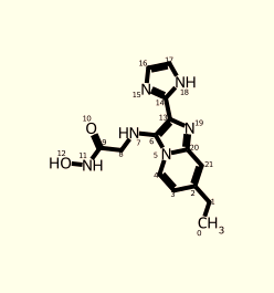 CCc1ccn2c(NCC(=O)NO)c(-c3ncc[nH]3)nc2c1